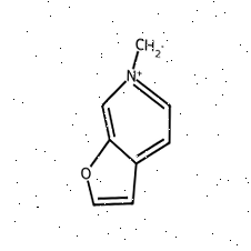 [CH2][n+]1ccc2ccoc2c1